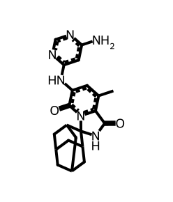 Cc1cc(Nc2cc(N)ncn2)c(=O)n2c1C(=O)NC21C2CC3CC(C2)CC1C3